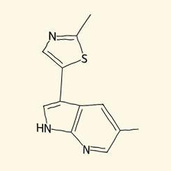 Cc1cnc2[nH]cc(-c3cnc(C)s3)c2c1